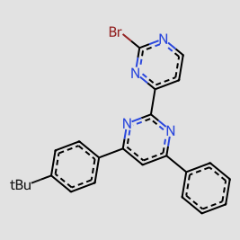 CC(C)(C)c1ccc(-c2cc(-c3ccccc3)nc(-c3ccnc(Br)n3)n2)cc1